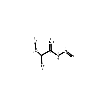 C=NNC(=N)C(CC)OCC